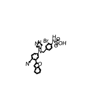 N#Cc1ccc(N(Cc2ccc(NS(=O)(=O)O)c(Br)c2)n2cnnc2)cc1-c1cc2ccccc2o1